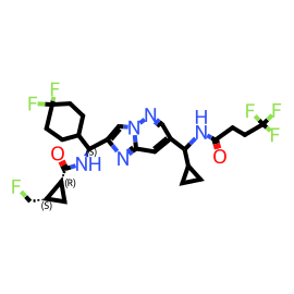 O=C(CCC(F)(F)F)NC(c1cnn2cc([C@@H](NC(=O)[C@@H]3C[C@@H]3CF)C3CCC(F)(F)CC3)nc2c1)C1CC1